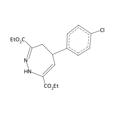 CCOC(=O)C1=CC(c2ccc(Cl)cc2)CC(C(=O)OCC)=NN1